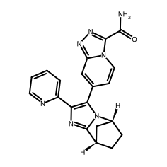 NC(=O)c1nnc2cc(-c3c(-c4ccccn4)nc4n3[C@@H]3CC[C@H]4C3)ccn12